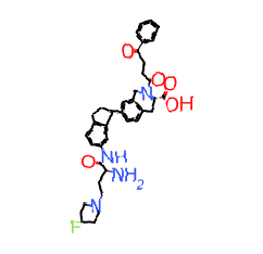 N[C@@H](CCN1CCC(F)CC1)C(=O)Nc1ccc2c(c1)C(c1ccc3c(c1)CN(C(=O)CCC(=O)c1ccccc1)[C@H](C(=O)O)C3)CC2